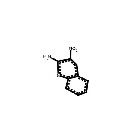 Nc1nc2ccccc2cc1[N+](=O)[O-]